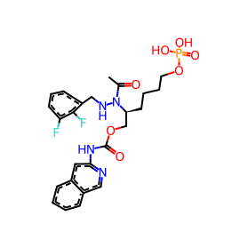 CC(=O)N(NCc1cccc(F)c1F)[C@@H](CCCCOP(=O)(O)O)COC(=O)Nc1cc2ccccc2cn1